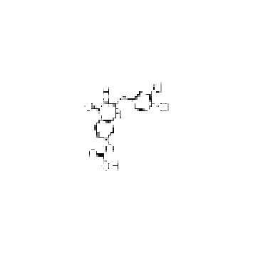 O=C(O)Oc1ccc2c(=O)[nH]c(Cc3ccc(Cl)c(Cl)c3)nc2c1